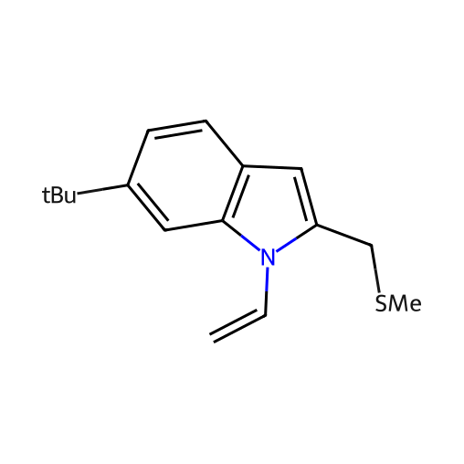 C=Cn1c(CSC)cc2ccc(C(C)(C)C)cc21